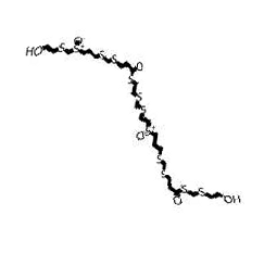 O=C(CCSCSCCC[S+]([O-])CSCCO)SCCSCSCC[S+]([O-])CCCSCSCCC(=O)SCSCCO